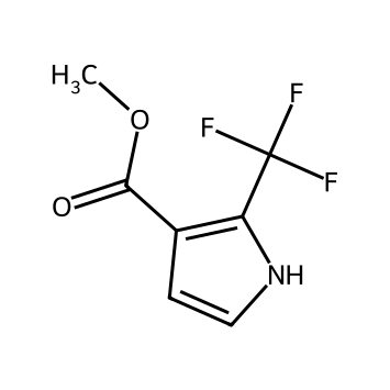 COC(=O)c1cc[nH]c1C(F)(F)F